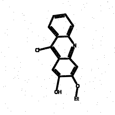 CCOc1cc2nc3ccccc3c(Cl)c2cc1O